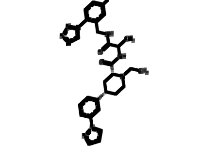 CCN1CC[C@H](c2cccc(-n3cccn3)c2)C[C@@H]1C(=O)NC(C)C(=O)NCc1cc(Cl)ccc1-n1cnnn1